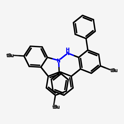 CC(C)(C)c1cc(-c2ccccc2)c(Nn2c3ccc(C(C)(C)C)cc3c3cc(C(C)(C)C)ccc32)c(-c2ccccc2)c1